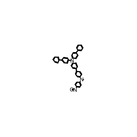 CN(c1ccc(N=O)cc1)c1ccc(-c2ccc(N(c3ccc(-c4ccccc4)cc3)c3ccc(-c4ccccc4)cc3)cc2)cc1